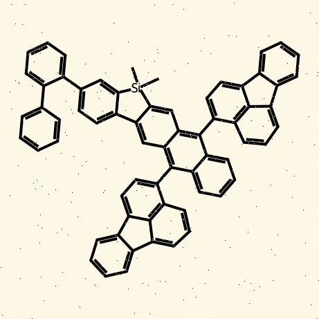 C[Si]1(C)c2cc(-c3ccccc3-c3ccccc3)ccc2-c2cc3c(-c4ccc5c6c(cccc46)-c4ccccc4-5)c4ccccc4c(-c4ccc5c6c(cccc46)-c4ccccc4-5)c3cc21